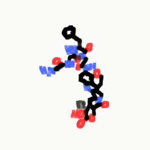 CC[C@@]1(O)C(=O)OCc2c1cc1n(c2=O)Cc2c-1nc1ccc(NC(=O)CNC(=O)[C@H](Cc3ccccc3)NC(=O)CNC(=O)CN)c3c1c2CCO3